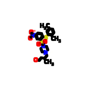 Cc1ccc(C)c(Sc2ccc([N+](=O)[O-])cc2S(=O)(=O)N2CCN(CC(C)CC=O)CC2)c1